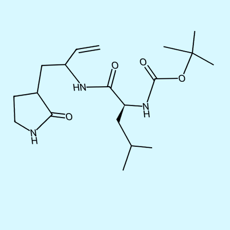 C=CC(CC1CCNC1=O)NC(=O)[C@H](CC(C)C)NC(=O)OC(C)(C)C